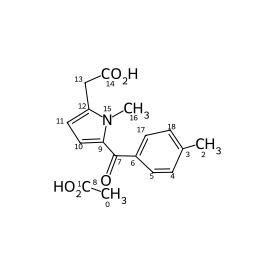 CC(=O)O.Cc1ccc(C(=O)c2ccc(CC(=O)O)n2C)cc1